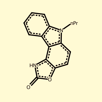 CCCn1c2ccccc2c2c3[nH]c(=O)oc3ccc21